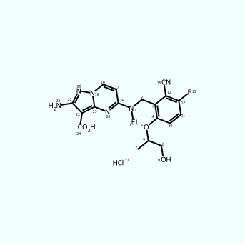 CCN(Cc1c(OC(C)CO)ccc(F)c1C#N)c1ccn2nc(N)c(C(=O)O)c2n1.Cl